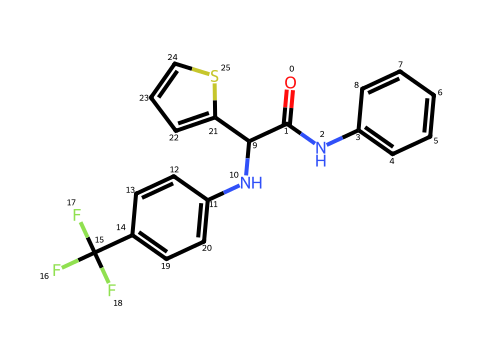 O=C(Nc1ccccc1)C(Nc1ccc(C(F)(F)F)cc1)c1cccs1